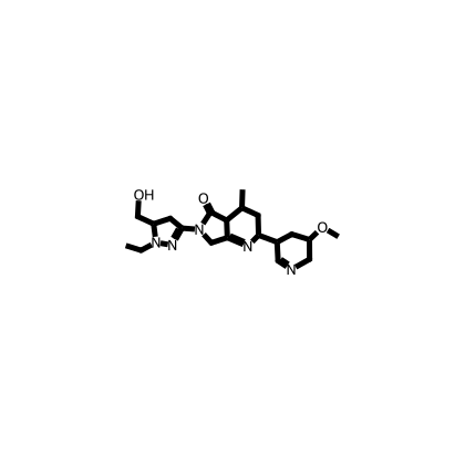 CCN1N=C(N2CC3=NC(C4C=NCC(OC)C4)CC(C)C3C2=O)CC1CO